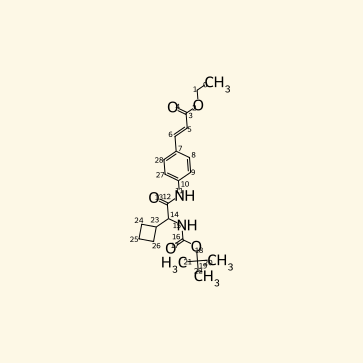 CCOC(=O)/C=C/c1ccc(NC(=O)C(NC(=O)OC(C)(C)C)C2CCC2)cc1